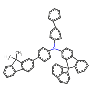 CC1(C)c2ccccc2-c2ccc(-c3ccc(N(c4ccc(-c5ccccc5)cc4)c4ccc5c(c4)C4(c6ccccc6-5)c5cccc6cccc4c56)cc3)cc21